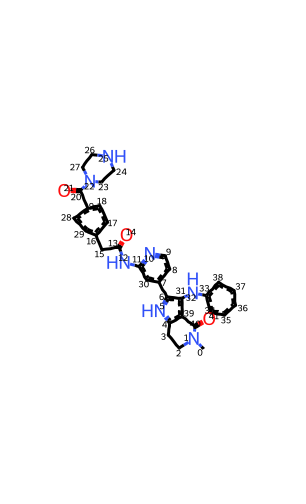 CN1CCc2[nH]c(-c3ccnc(NC(=O)Cc4ccc(C(=O)N5CCNCC5)cc4)c3)c(Nc3ccccc3)c2C1=O